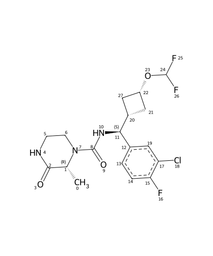 C[C@@H]1C(=O)NCCN1C(=O)N[C@H](c1ccc(F)c(Cl)c1)[C@H]1C[C@@H](OC(F)F)C1